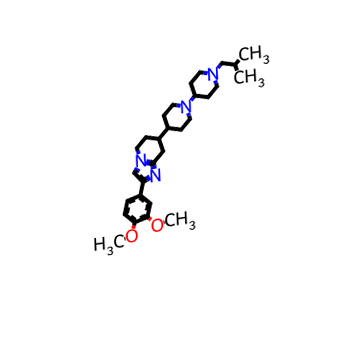 COc1ccc(-c2cn3c(n2)CC(C2CCN(C4CCN(CC(C)C)CC4)CC2)CC3)cc1OC